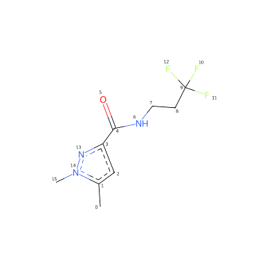 Cc1cc(C(=O)NCCC(F)(F)F)nn1C